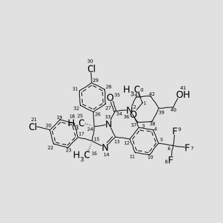 CCOc1cc(C(F)(F)F)ccc1C1=N[C@@](C)(c2ccc(Cl)cc2)[C@@](C)(c2ccc(Cl)cc2)N1C(=O)N1CCC(CO)CC1